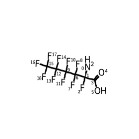 N[C@](F)(C(=O)O)C(F)(F)C(F)(F)C(F)(F)C(F)(F)F